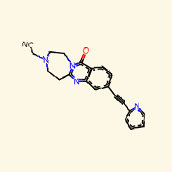 N#CCN1CCc2nc3cc(C#Cc4ccccn4)ccc3c(=O)n2CC1